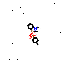 CCN1c2ccccc2SC1(C)OS(=O)(=O)c1ccc(C)cc1